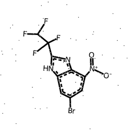 O=[N+]([O-])c1cc(Br)cc2[nH]c(C(F)(F)C(F)F)nc12